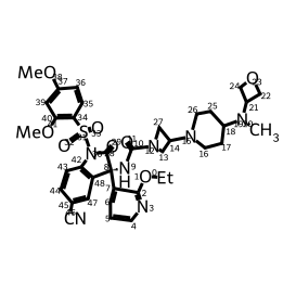 CCOc1ncccc1[C@]1(NC(=O)N2CC(N3CCC(N(C)C4COC4)CC3)C2)C(=O)N(S(=O)(=O)c2ccc(OC)cc2OC)c2ccc(C#N)cc21